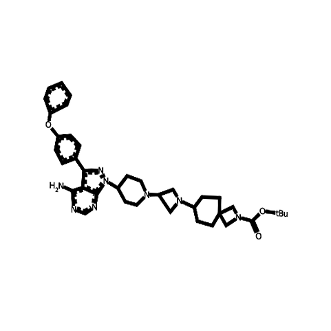 CC(C)(C)OC(=O)N1CC2(CCC(N3CC(N4CCC(n5nc(-c6ccc(Oc7ccccc7)cc6)c6c(N)ncnc65)CC4)C3)CC2)C1